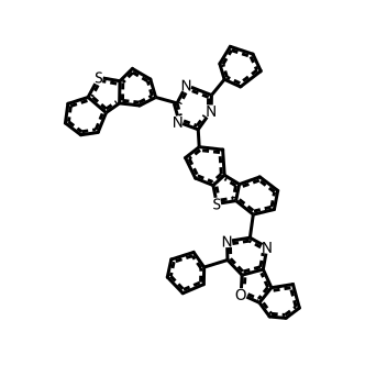 c1ccc(-c2nc(-c3ccc4sc5ccccc5c4c3)nc(-c3ccc4sc5c(-c6nc(-c7ccccc7)c7oc8ccccc8c7n6)cccc5c4c3)n2)cc1